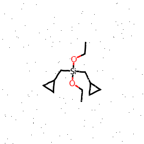 CCO[Si](CC1CC1)(CC1CC1)OCC